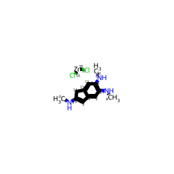 CNC1=Cc2cc(NC)c(NC)cc2[CH]1.[Cl][Zr][Cl]